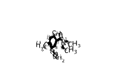 CCN(CC)C(=O)C1=CC(N=NN)=C(C)CC1C